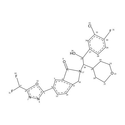 O=C1c2cc(-c3nnc(C(F)F)o3)ccc2CN1C(C1CCOCC1)C(O)c1ccc(F)c(Cl)c1